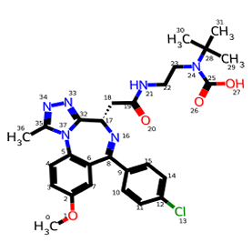 COc1ccc2c(c1)C(c1ccc(Cl)cc1)=N[C@@H](CC(=O)NCCN(C(=O)O)C(C)(C)C)c1nnc(C)n1-2